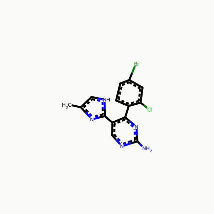 Cc1c[nH]c(-c2cnc(N)nc2-c2ccc(Br)cc2Cl)n1